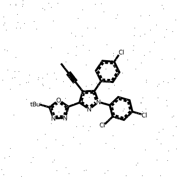 CC#Cc1c(-c2nnc(C(C)(C)C)o2)nn(-c2ccc(Cl)cc2Cl)c1-c1ccc(Cl)cc1